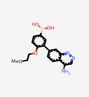 COCCOc1ccc(B(O)O)cc1-c1ccc2c(N)cnnc2c1